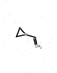 C=[C]N1CC1